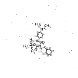 CCN(CC)c1ccc(NC(=O)N(C(=O)OC(C)(C)C)C2CCc3ccccc3C2)cc1